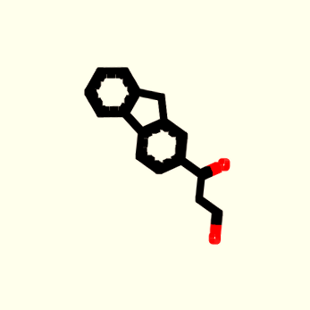 O=CCC(=O)c1ccc2c(c1)Cc1ccccc1-2